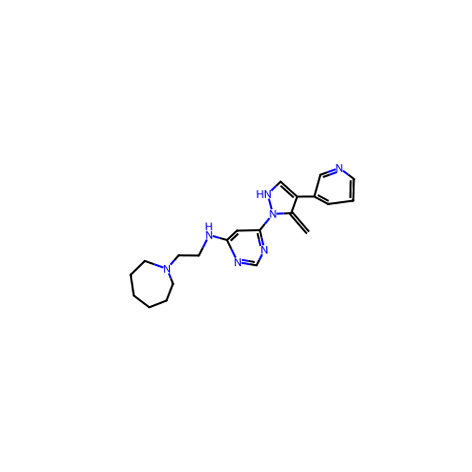 C=C1C(c2cccnc2)=CNN1c1cc(NCCN2CCCCCC2)ncn1